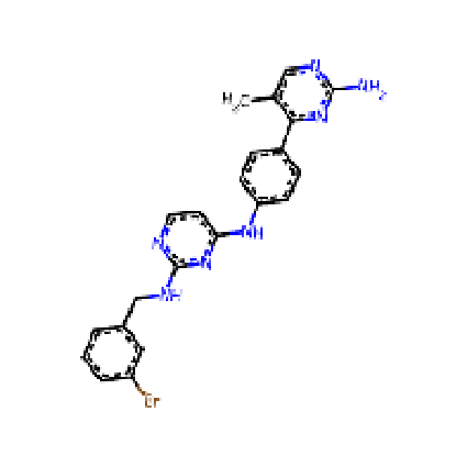 Cc1cnc(N)nc1-c1ccc(Nc2ccnc(NCc3cccc(Br)c3)n2)cc1